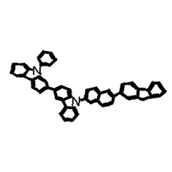 c1ccc(-n2c3ccccc3c3ccc(-c4ccc5c(c4)c4ccccc4n5-c4ccc5cc(-c6ccc7c(c6)Cc6ccccc6-7)ccc5c4)cc32)cc1